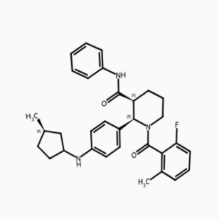 Cc1cccc(F)c1C(=O)N1CCC[C@H](C(=O)Nc2ccccc2)[C@@H]1c1ccc(NC2CC[C@@H](C)C2)cc1